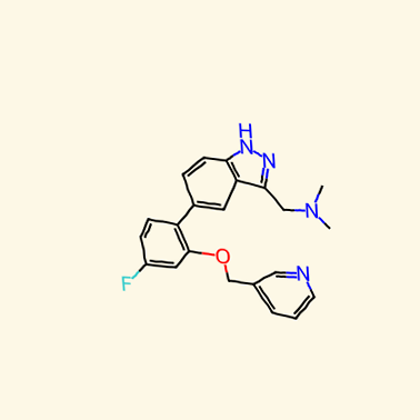 CN(C)Cc1n[nH]c2ccc(-c3ccc(F)cc3OCc3cccnc3)cc12